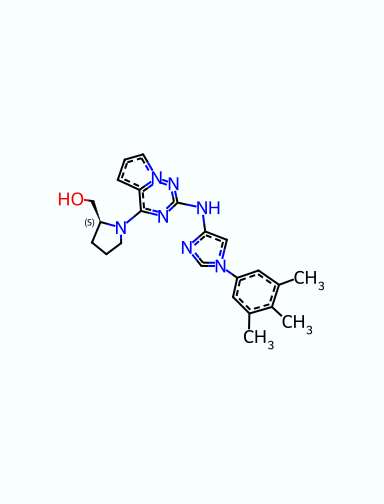 Cc1cc(-n2cnc(Nc3nc(N4CCC[C@H]4CO)c4cccn4n3)c2)cc(C)c1C